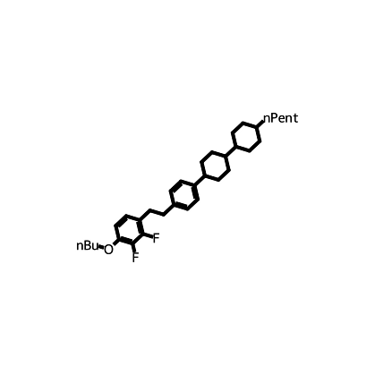 CCCCCC1CCC(C2CCC(c3ccc(CCc4ccc(OCCCC)c(F)c4F)cc3)CC2)CC1